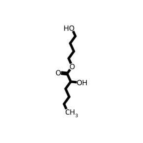 CCCCC(O)C(=O)OCCCCO